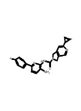 Nc1ccc(-c2ccc(F)cc2)nc1NC(=O)N1Cc2cnc(C3CC3)cc2C1